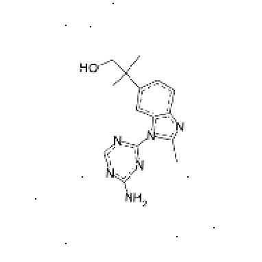 Cc1nc2ccc(C(C)(C)CO)cc2n1-c1ncnc(N)n1